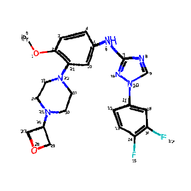 CC(C)Oc1ccc(Nc2ncn(-c3ccc(F)c(F)c3)n2)cc1N1CCN(C2COC2)CC1